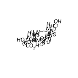 NCCCC[C@H](N)C(=O)N[C@@H](Cc1ccc(O)cc1)C(=O)NCC(=O)N1CCC[C@H]1C(=O)N1CCC[C@H]1C(=O)N[C@@H](CS)C(=O)N1CCC[C@H]1C(=O)N[C@@H](CO)C(=O)N1CCC[C@H]1C(=O)O